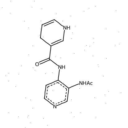 CC(=O)Nc1cnccc1NC(=O)C1=CNC=CC1